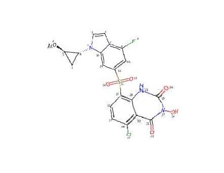 CC(=O)O[C@@H]1C[C@H]1n1ccc2c(F)cc(S(=O)(=O)c3ccc(Cl)c4c(=O)n(O)c(=O)[nH]c34)cc21